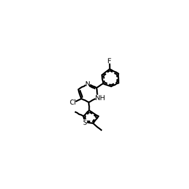 Cc1cc(C2NC(c3cccc(F)c3)=NC=C2Cl)c(C)s1